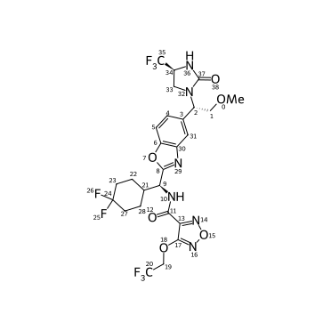 COC[C@H](c1ccc2oc([C@@H](NC(=O)c3nonc3OCC(F)(F)F)C3CCC(F)(F)CC3)nc2c1)N1C[C@@H](C(F)(F)F)NC1=O